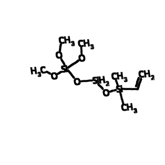 C=C[Si](C)(C)O[SiH2]O[Si](OC)(OC)OC